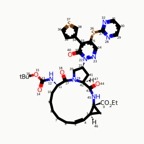 CCOC(=O)[C@@]12C[C@H]1/C=C\CCCCC[C@H](NC(=O)OC(C)(C)C)C(=O)N1C[C@H](n3ncc(Sc4ncccn4)c(-c4ccsc4)c3=O)C[C@H]1C(=O)N2